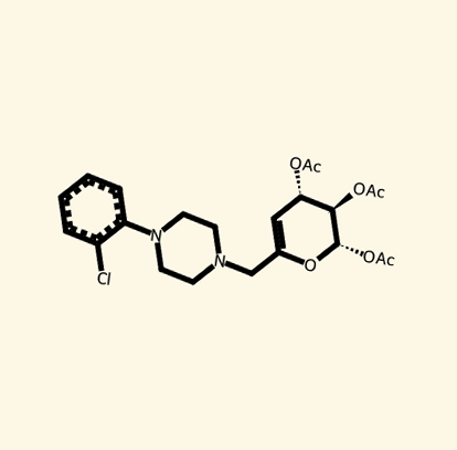 CC(=O)O[C@@H]1OC(CN2CCN(c3ccccc3Cl)CC2)=C[C@H](OC(C)=O)[C@H]1OC(C)=O